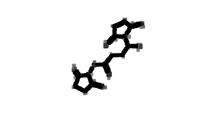 CCC(CCC(=O)ON1C(=O)CCC1=O)N1C(=O)C=CC1=O